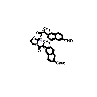 COc1ccc2cc([C@H](C)C(=O)N3CCS/C3=N\C(=O)[C@@H](C)c3ccc4cc(C=O)ccc4c3)ccc2c1